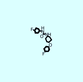 O=C(Nc1ccc(F)cc1)N[C@H]1CC[C@@H](Oc2ccc(F)cc2)CC1